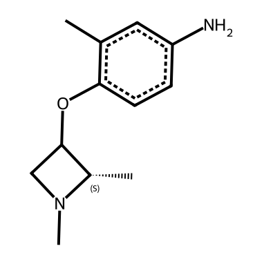 Cc1cc(N)ccc1OC1CN(C)[C@H]1C